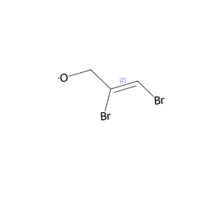 [O]C/C(Br)=C/Br